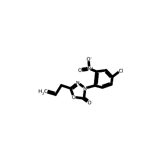 C=CCc1nn(-c2ccc(Cl)cc2[N+](=O)[O-])c(=O)o1